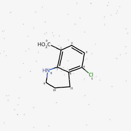 O=C(O)c1ccc(Cl)c2c1NCCC2